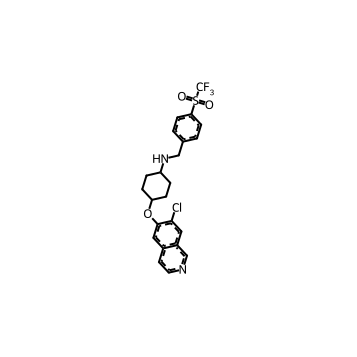 O=S(=O)(c1ccc(CNC2CCC(Oc3cc4ccncc4cc3Cl)CC2)cc1)C(F)(F)F